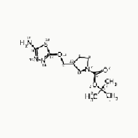 CC(C)(C)OC(=O)N1CCC(COc2nnc(N)s2)C1